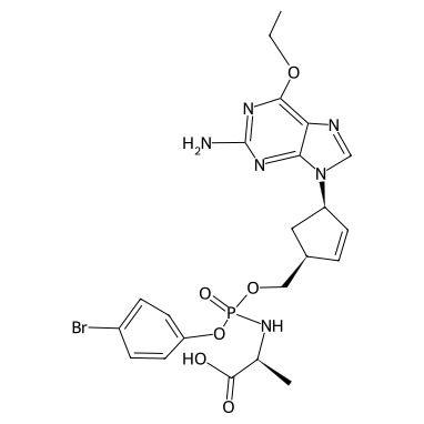 CCOc1nc(N)nc2c1ncn2[C@H]1C=C[C@@H](COP(=O)(N[C@@H](C)C(=O)O)Oc2ccc(Br)cc2)C1